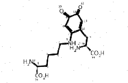 N[C@@H](CCCCNC1=CC(=O)C(=O)C=C1C[C@H](N)C(=O)O)C(=O)O